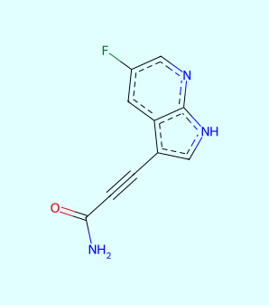 NC(=O)C#Cc1c[nH]c2ncc(F)cc12